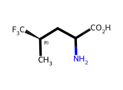 C[C@H](CC(N)C(=O)O)C(F)(F)F